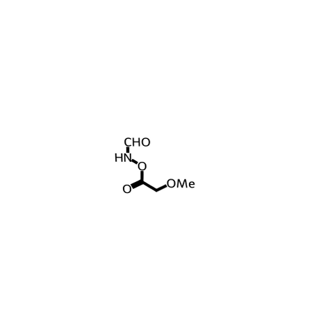 COCC(=O)ONC=O